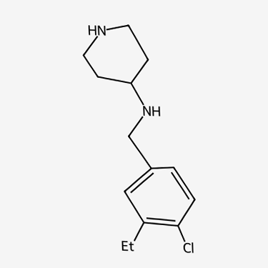 CCc1cc(CNC2CCNCC2)ccc1Cl